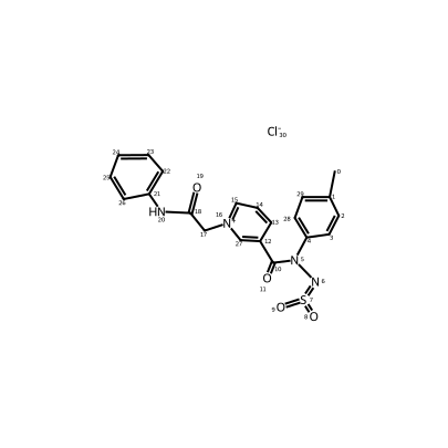 Cc1ccc(N(N=S(=O)=O)C(=O)c2ccc[n+](CC(=O)Nc3ccccc3)c2)cc1.[Cl-]